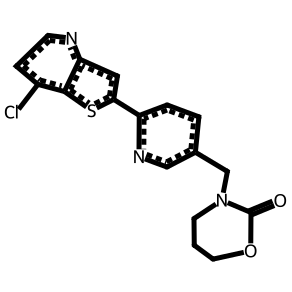 O=C1OCCCN1Cc1ccc(-c2cc3nccc(Cl)c3s2)nc1